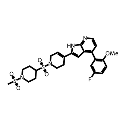 COc1ccc(F)cc1-c1ccnc2[nH]c(C3=CCN(S(=O)(=O)C4CCN(S(C)(=O)=O)CC4)CC3)cc12